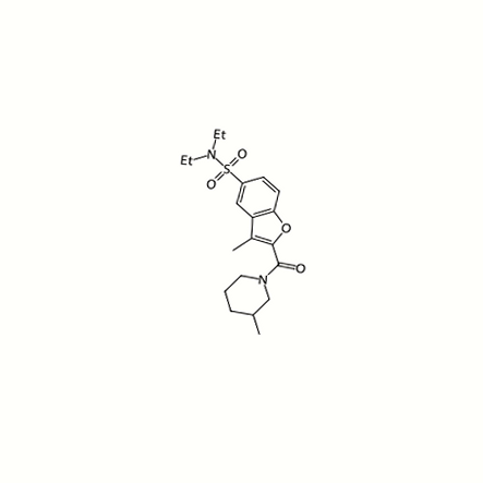 CCN(CC)S(=O)(=O)c1ccc2oc(C(=O)N3CCCC(C)C3)c(C)c2c1